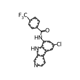 O=C(Nc1cc(Cl)cc2c1[nH]c1cnccc12)c1ccc(C(F)(F)F)cc1